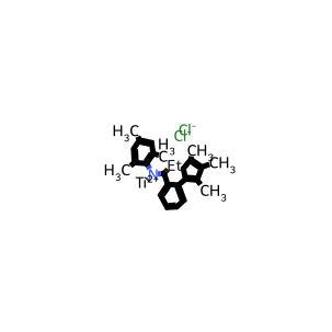 CCC(c1ccccc1C1=C(C)C(C)=C(C)C1)[N]([Ti+2])c1c(C)cc(C)cc1C.[Cl-].[Cl-]